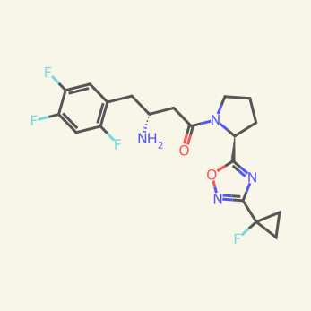 N[C@@H](CC(=O)N1CCC[C@H]1c1nc(C2(F)CC2)no1)Cc1cc(F)c(F)cc1F